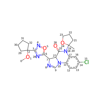 COC1(c2noc(C3N=CN4c5ccc(Cl)cc5N(C5(C)CCCO5)C(=O)C34)n2)CCCC1